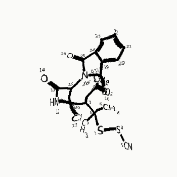 COC(=O)C(C(C)(C)SSC#N)C1(Cl)NC(=O)C1N1C(=O)c2ccccc2C1=O